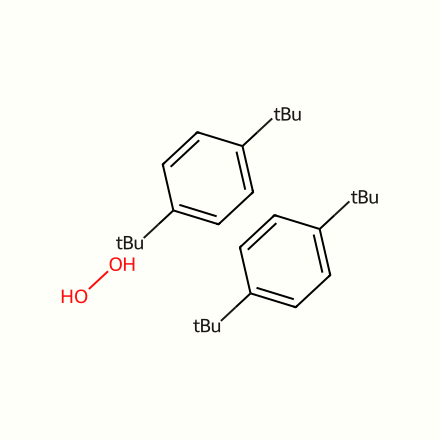 CC(C)(C)c1ccc(C(C)(C)C)cc1.CC(C)(C)c1ccc(C(C)(C)C)cc1.OO